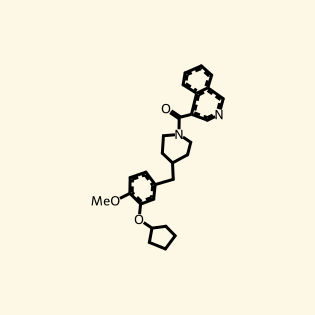 COc1ccc(CC2CCN(C(=O)c3cncc4ccccc34)CC2)cc1OC1CCCC1